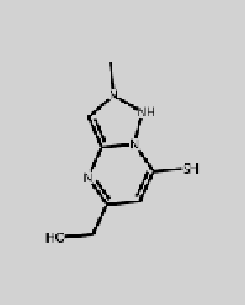 CN1C=C2N=C(CO)C=C(S)N2N1